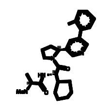 CN[C@@H](C)C(=O)N[C@H](C(=O)N1CCC[C@H]1c1cncc(-c2ccccc2C)c1)C1CCCCC1